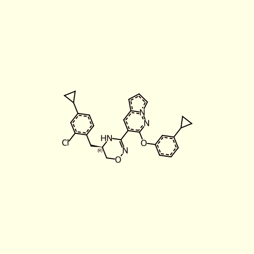 Clc1cc(C2CC2)ccc1C[C@@H]1CON=C(c2cc3cccn3nc2Oc2cccc(C3CC3)c2)N1